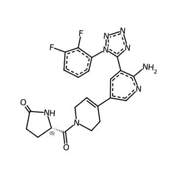 Nc1ncc(C2=CCN(C(=O)[C@@H]3CCC(=O)N3)CC2)cc1-c1nnnn1-c1cccc(F)c1F